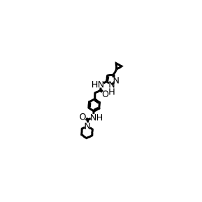 O=C(Cc1ccc(NC(=O)N2CCCCC2)cc1)Nc1cc(C2CC2)n[nH]1